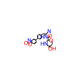 Cn1c(=O)oc2ccc(-c3ccc(C[C@@H](C#N)NC(=O)[C@@H]4CNC[C@@H](O)CCO4)cc3)cc21